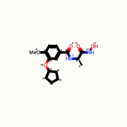 COc1ccc(C(=O)N[C@H](C)C(=O)NO)cc1OC1CCCC1